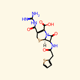 N=C(N)NC(=O)C1=C(C(=O)O)N2C(=O)C(NC(=O)Cc3cccs3)[C@H]2SC1